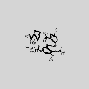 COc1cc(NC(=O)[C@H](C)O)cc(CNc2ccc(Cl)cc2C(=O)Nc2ccc(C(=N)N)cc2)c1OCC(=O)O